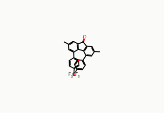 Cc1cc2c(c(-c3ccc(C(F)(F)F)cc3)c1)-c1c(cc(C)cc1-c1ccc(C(F)(F)F)cc1)C2=O